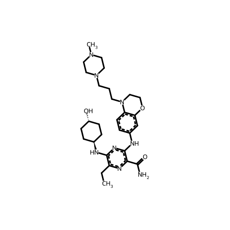 CCc1nc(C(N)=O)c(Nc2ccc3c(c2)OCCN3CCCN2CCN(C)CC2)nc1N[C@H]1CC[C@H](O)CC1